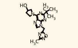 Cc1noc(Cn2cnc3c(N4CCC(O)C4)nc(C(C)(C)C)nc32)n1